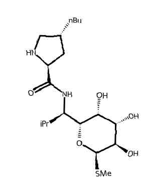 CCCC[C@H]1CN[C@H](C(=O)N[C@H](C(C)C)[C@H]2O[C@H](SC)[C@H](O)[C@@H](O)[C@H]2O)C1